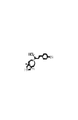 Cl.N#Cc1ccc(C=CC(=O)N2CC[C@@H]3CNC[C@@H]3CC2)cc1